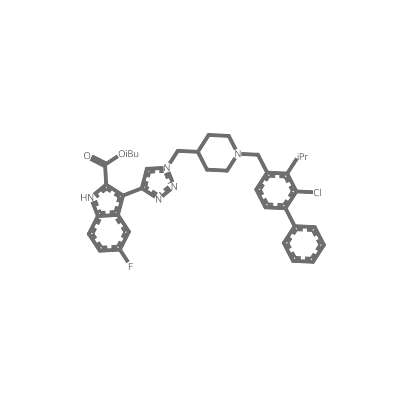 CC(C)COC(=O)c1[nH]c2ccc(F)cc2c1-c1cn(CC2CCN(Cc3ccc(-c4ccccc4)c(Cl)c3C(C)C)CC2)nn1